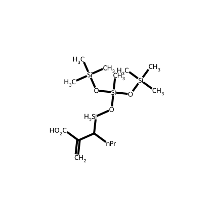 C=C(C(=O)O)C(CCC)[SiH2]O[Si](C)(O[Si](C)(C)C)O[Si](C)(C)C